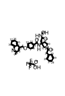 Cc1cc(COc2ccc(C(=O)NC3(CC(=O)NO)CCN(C(=O)Cc4ccccc4)C3)cc2)c2ccccc2n1.O=C(O)C(F)(F)F